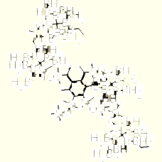 BBB(B)C(B(B)B)(B(B)BCC)[Si](C)(C)O[Si](C)(C)CBB(B)C(B(B)B)(B(B)BB)[Si](C)(C)O[Si](C)(C)C(C)=c1c(C)c([Si](C)(C)O[Si](C)(C)C)c([Si](C)(C)O[Si](C)(C)C)c(C)c1=C(C)[Si](C)(C)O[Si](C)(C)C(B(B)B)(B(B)BB)B(B)BC[Si](C)(C)O[Si](C)(C)C(B(B)B)(B(B)BB)B(B)BCC